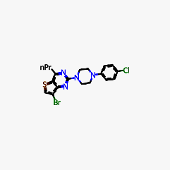 [CH2]CCc1nc(N2CCN(c3ccc(Cl)cc3)CC2)nc2c(Br)csc12